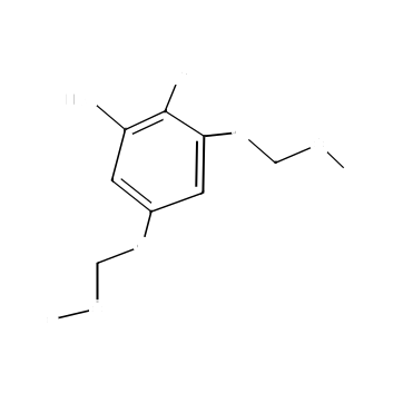 COCOc1cc(C)c(Br)c(OCOC)c1